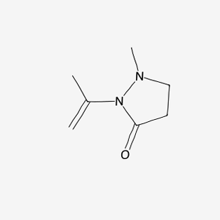 C=C(C)N1C(=O)CCN1C